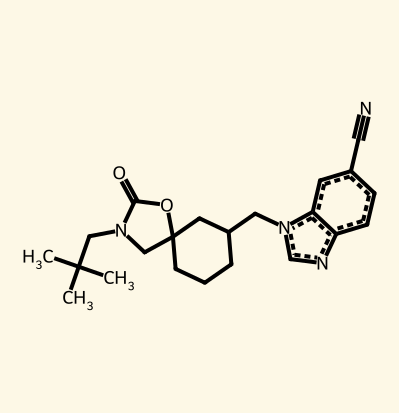 CC(C)(C)CN1CC2(CCCC(Cn3cnc4ccc(C#N)cc43)C2)OC1=O